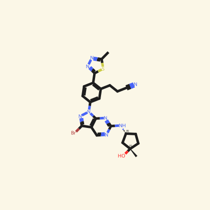 Cc1nnc(-c2ccc(-n3nc(Br)c4cnc(N[C@@H]5CC[C@](C)(O)C5)nc43)cc2CCC#N)s1